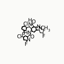 Cn1nc2c3c(c(NC(=O)c4cc(Cl)cc(F)n4)cc2c1CC(F)F)C(c1cc(F)ccc1Cl)NC3=O